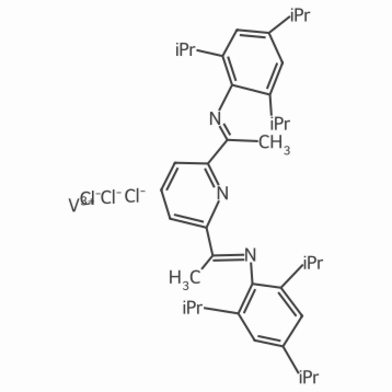 CC(=Nc1c(C(C)C)cc(C(C)C)cc1C(C)C)c1cccc(C(C)=Nc2c(C(C)C)cc(C(C)C)cc2C(C)C)n1.[Cl-].[Cl-].[Cl-].[V+3]